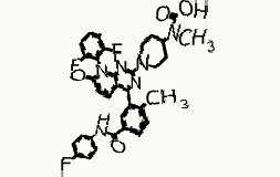 Cc1ccc(C(=O)Nc2ccc(F)cc2)cc1-c1nc(N2CCC(N(C)C(=O)O)CC2)nc2c1ccc(=O)n2-c1c(F)cccc1F